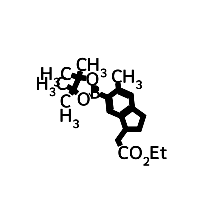 CCOC(=O)CC1CCc2cc(C)c(B3OC(C)(C)C(C)(C)O3)cc21